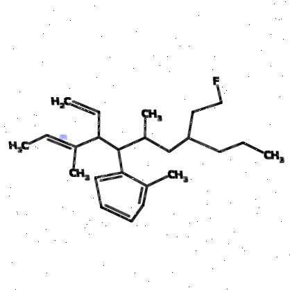 C=CC(/C(C)=C/C)C(c1ccccc1C)C(C)CC(CCC)CCF